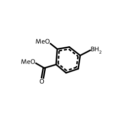 Bc1ccc(C(=O)OC)c(OC)c1